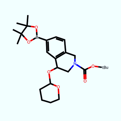 CC(C)(C)OC(=O)N1Cc2ccc(B3OC(C)(C)C(C)(C)O3)cc2C(OC2CCCCO2)C1